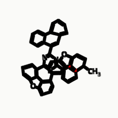 CC1C=Cc2oc3ccc(-c4cccc5oc6cccc(-c7nc(-c8ccccc8)nc(-c8cc9ccccc9c9ccccc89)n7)c6c45)cc3c2C1